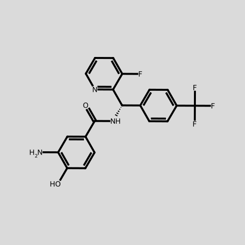 Nc1cc(C(=O)N[C@@H](c2ccc(C(F)(F)F)cc2)c2ncccc2F)ccc1O